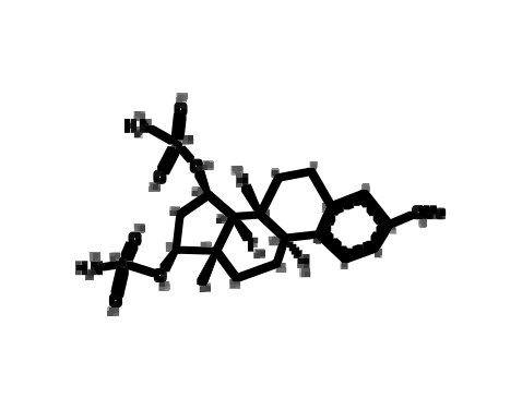 COc1ccc2c(c1)CC[C@@H]1[C@@H]2CC[C@]2(C)[C@@H](OS(N)(=O)=O)C[C@@H](OS(N)(=O)=O)[C@]12F